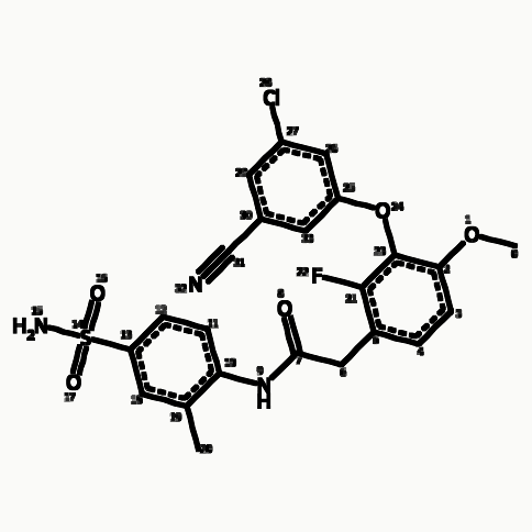 COc1ccc(CC(=O)Nc2ccc(S(N)(=O)=O)cc2C)c(F)c1Oc1cc(Cl)cc(C#N)c1